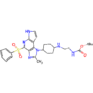 Cc1nc2c(S(=O)(=O)c3ccccc3)nc3[nH]ccc3c2n1C1CCC(NCCNC(=O)OC(C)(C)C)CC1